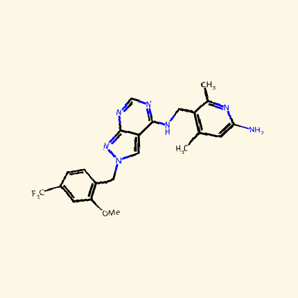 COc1cc(C(F)(F)F)ccc1Cn1cc2c(NCc3c(C)cc(N)nc3C)ncnc2n1